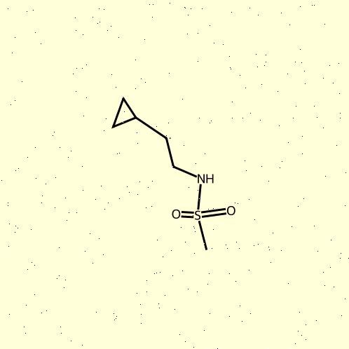 CS(=O)(=O)NC[CH]C1CC1